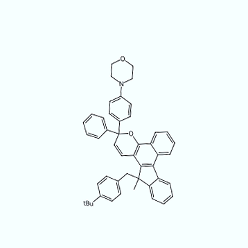 CC(C)(C)c1ccc(CC2(C)c3ccccc3-c3c2c2c(c4ccccc34)OC(c3ccccc3)(c3ccc(N4CCOCC4)cc3)C=C2)cc1